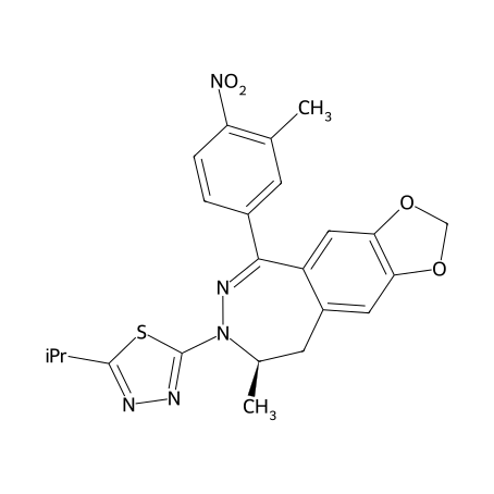 Cc1cc(C2=NN(c3nnc(C(C)C)s3)[C@H](C)Cc3cc4c(cc32)OCO4)ccc1[N+](=O)[O-]